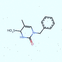 CC1=CN(Cc2ccccc2)C(=O)NC1S(=O)(=O)O